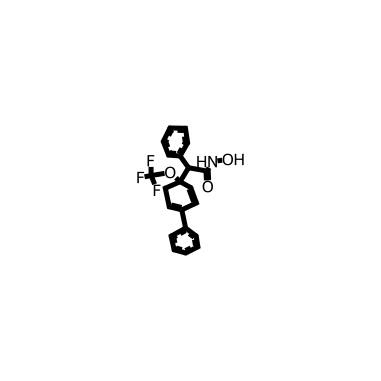 O=C(NO)C(c1ccccc1)C1(OC(F)(F)F)C=CC(c2ccccc2)=CC1